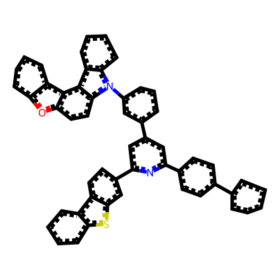 c1ccc(-c2ccc(-c3cc(-c4cccc(-n5c6ccccc6c6c7c(ccc65)oc5ccccc57)c4)cc(-c4ccc5c(c4)sc4ccccc45)n3)cc2)cc1